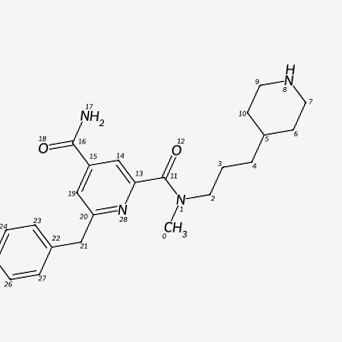 CN(CCCC1CCNCC1)C(=O)c1cc(C(N)=O)cc(Cc2ccccc2)n1